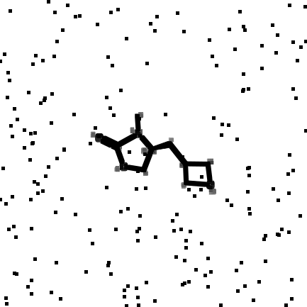 CN1C(=O)OC[C@@H]1CC1COC1